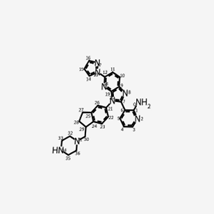 Nc1ncccc1-c1nc2ccc(-n3cccn3)nc2n1-c1ccc2c(c1)CCC2CN1CCNCC1